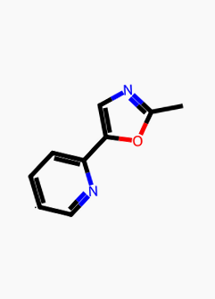 Cc1ncc(-c2cc[c]cn2)o1